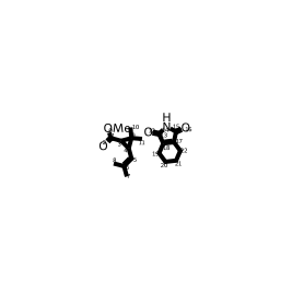 COC(=O)C1C(C=C(C)C)C1(C)C.O=C1NC(=O)C2=C1CCCC2